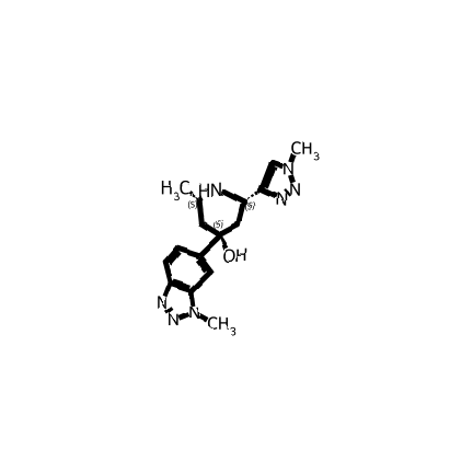 C[C@H]1C[C@@](O)(c2ccc3nnn(C)c3c2)C[C@@H](c2cn(C)nn2)N1